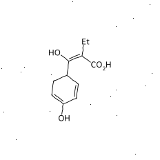 CCC(C(=O)O)=C(O)C1C=CC(O)=CC1